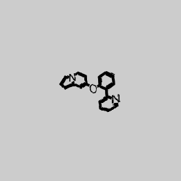 c1ccc(-c2ccccc2Oc2ccn3cccc3c2)nc1